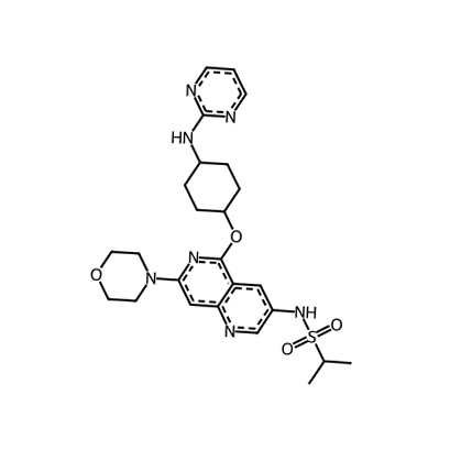 CC(C)S(=O)(=O)Nc1cnc2cc(N3CCOCC3)nc(OC3CCC(Nc4ncccn4)CC3)c2c1